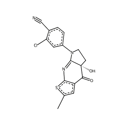 Cc1cc2c(s1)N=C1N(c3ccc(C#N)c(Cl)c3)CC[C@@]1(O)C2=O